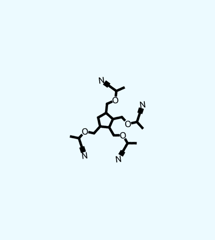 CC(C#N)OCC1CC(COC(C)C#N)C(COC(C)C#N)C1COC(C)C#N